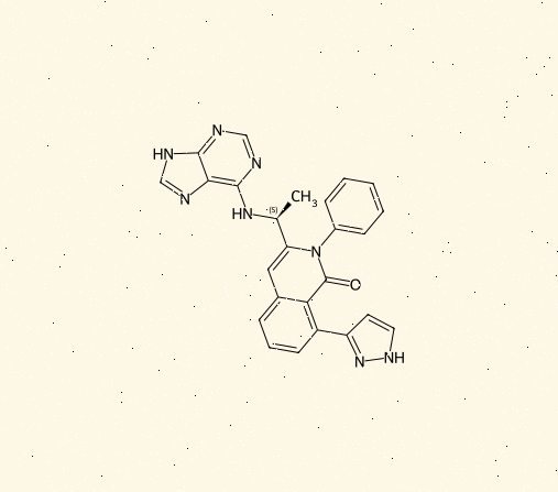 C[C@H](Nc1ncnc2[nH]cnc12)c1cc2cccc(-c3cc[nH]n3)c2c(=O)n1-c1ccccc1